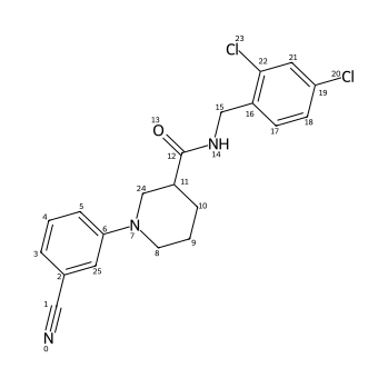 N#Cc1cccc(N2CCCC(C(=O)NCc3ccc(Cl)cc3Cl)C2)c1